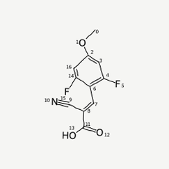 COc1cc(F)c(C=C(C#N)C(=O)O)c(F)c1